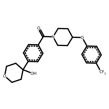 O=C(c1ccc(C2(O)CCOCC2)cc1)N1CCC(Oc2ccc(C(F)(F)F)cc2)CC1